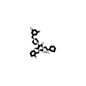 Cc1c(N2CCN(Cc3cc(F)cc(F)c3)CC2)c(=O)n(C[C@@H](N)c2ccccc2)c(=O)n1Cc1c(F)cccc1F